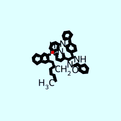 C=C(/C=C\C=C/C)Cc1cc2ccccc2cc1Nc1ccc(C2=Nc3oc4ccccc4c3NC2c2ccc3c4ccccc4n(-c4ccccc4)c3c2)cn1